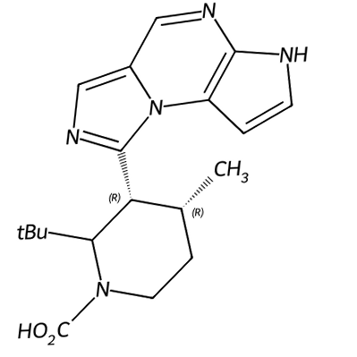 C[C@@H]1CCN(C(=O)O)C(C(C)(C)C)[C@@H]1c1ncc2cnc3[nH]ccc3n12